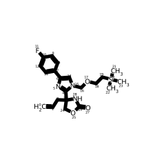 C=CCC1(c2nc(-c3ccc(F)cc3)cn2COCC[Si](C)(C)C)COC(=O)N1